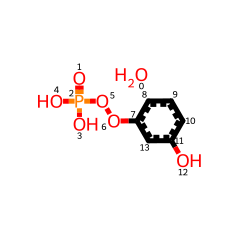 O.O=P(O)(O)OOc1cccc(O)c1